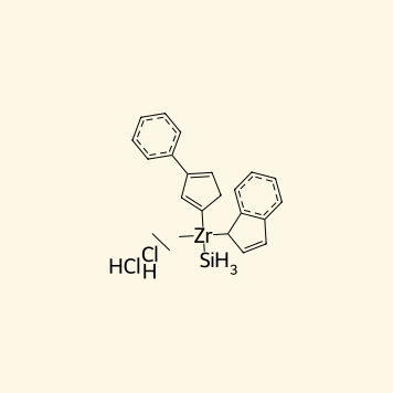 CC.Cl.Cl.[CH3][Zr]([SiH3])([C]1=CC(c2ccccc2)=CC1)[CH]1C=Cc2ccccc21